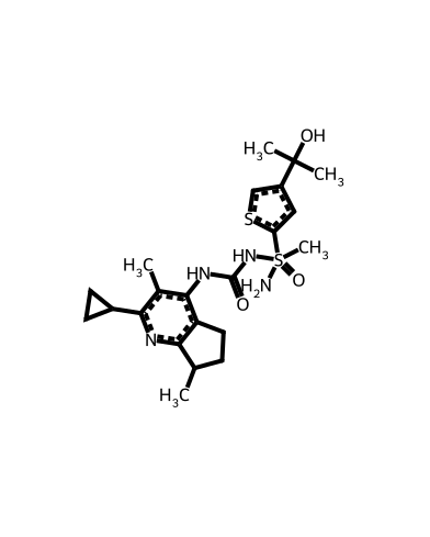 Cc1c(C2CC2)nc2c(c1NC(=O)NS(C)(N)(=O)c1cc(C(C)(C)O)cs1)CCC2C